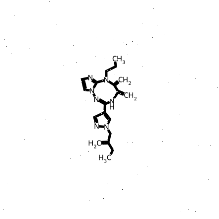 C=C(CC)Cn1cc(-c2nn3ccnc3n(CCC)c(=C)c(=C)[nH]2)cn1